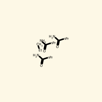 CCC.CCCC(N)=O.CCCC(N)=O.CCCC(N)=O